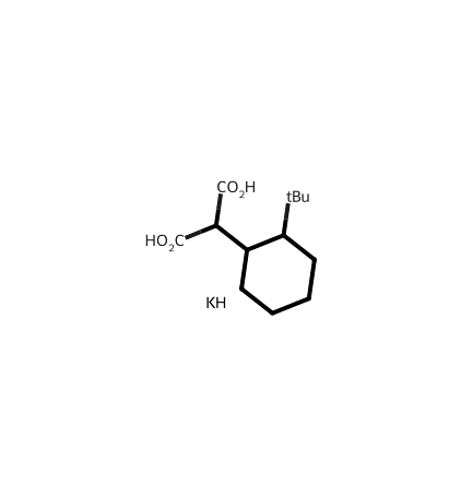 CC(C)(C)C1CCCCC1C(C(=O)O)C(=O)O.[KH]